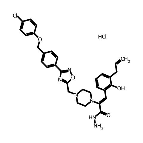 C=CCc1cccc(C=C(C(=O)NN)N2CCN(Cc3nc(-c4ccc(COc5ccc(Cl)cc5)cc4)no3)CC2)c1O.Cl